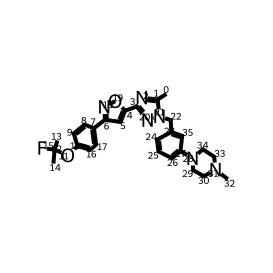 Cc1nc(-c2cc(-c3ccc(OC(C)(C)F)cc3)no2)nn1Cc1cccc(N2CCN(C)CC2)c1